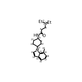 CCN(CC)CCC(=O)NC1CCC(n2ccc3cccc(C)c32)CC1